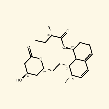 CC[C@H](C)C(=O)O[C@H]1CCC=C2C=C[C@H](C)[C@H](CC[C@@H]3C[C@@H](O)CC(=O)O3)C21